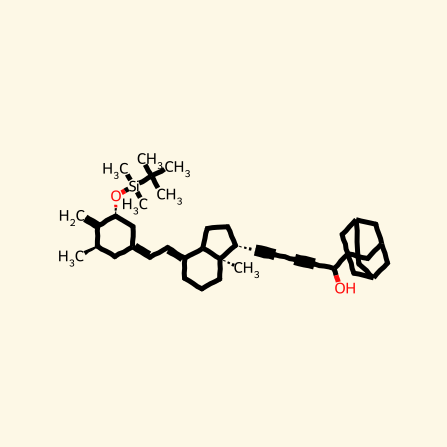 C=C1[C@H](C)C/C(=C/C=C2\CCC[C@@]3(C)C2CC[C@@H]3C#CC#CC(O)C23CC4CC(CC(C4)C2)C3)C[C@H]1O[Si](C)(C)C(C)(C)C